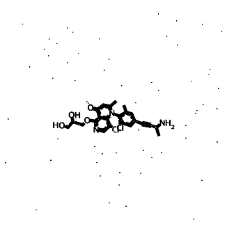 Cc1cc(C#CC(C)N)cc(Cl)c1-n1c(C)cc(=O)c2c(OCC(O)CO)ncc(Cl)c21